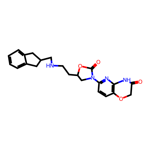 O=C1COc2ccc(N3CC(CCNCC4Cc5ccccc5C4)OC3=O)nc2N1